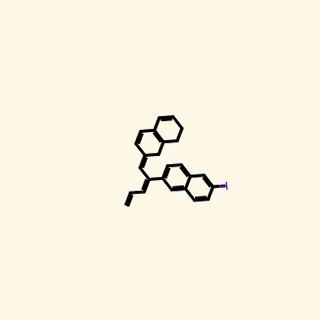 C=C/C=C(\C=C1\C=CC2=C(CCC=C2)C1)c1ccc2cc(I)ccc2c1